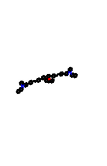 C(=C\c1ccc(-c2ccc3c(c2)c2ccccc2n3-c2ccc3ccccc3c2)cc1)/c1ccc(-c2ccc3c(c2)C2(CCc4cc5ccccc5cc42)c2cc(-c4ccc(/C=C/c5ccc(-c6ccc7c(c6)c6ccccc6n7-c6ccc7ccccc7c6)cc5)cc4)ccc2-3)cc1